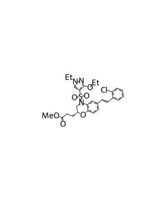 CCOc1nn(CC)cc1S(=O)(=O)N1C[C@H](CCC(=O)OC)Oc2ccc(/C=C/c3ccccc3Cl)cc21